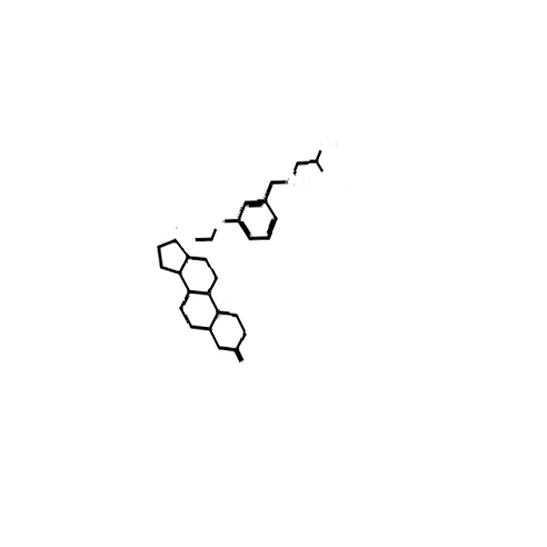 CC(C)CNCc1cccc(OCC[C@]23CCC4C(CCC5CC(=O)CC[C@@]54C)C2CC[C@@H]3O)c1